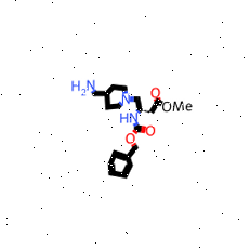 COC(=O)C[C@@H](CN1CCC(CN)CC1)NC(=O)OCc1ccccc1